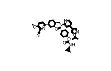 COc1ccc([C@H]2CC[C@H](CN(c3cc(-c4cnn(C(C)C)c4)ccn3)C(=O)[C@H]3CC[C@H](OC(=O)NC4CC4)CC3)CC2)nc1C#N